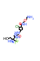 C#CCc1[nH]nc(C(F)(F)F)c1-c1cnc(C(=O)NCc2ccc(C(=O)NCCOCCN)c(Cl)c2)[nH]1